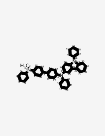 CN(c1ccccc1)c1ccc(-c2ccc(N(c3ccccc3)c3ccc4c(c3)c3ccccc3n4-c3ccccc3)cc2)cc1